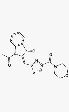 CC(=O)N1/C(=C/c2nc(C(=O)N3CCOCC3)cs2)C(=O)c2ccccc21